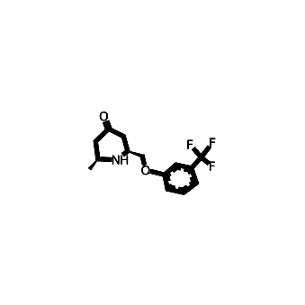 C[C@H]1CC(=O)C[C@@H](COc2cccc(C(F)(F)F)c2)N1